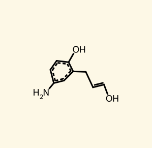 Nc1ccc(O)c(CC=CO)c1